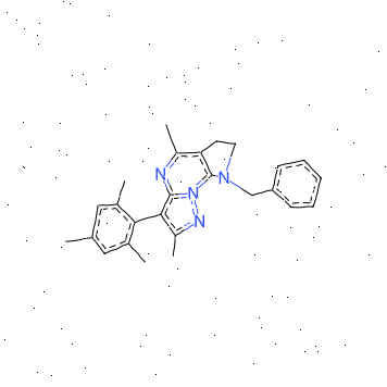 Cc1cc(C)c(-c2c(C)nn3c4c(c(C)nc23)CCN4Cc2ccccc2)c(C)c1